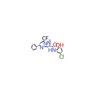 O=C(Nc1cc(Cl)ccc1O)c1cc2nc(-c3ccccc3)cc(C(F)(F)F)n2n1